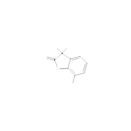 CC1(C)C(=O)Nc2c(Br)cccc21